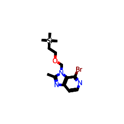 Cc1nc2ccnc(Br)c2n1COCC[Si](C)(C)C